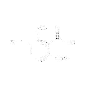 [CH2]CCCC(=O)c1c(OC)ccc(OC)c1OC